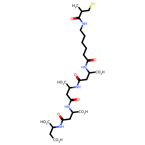 CC(CS)C(=O)NCCCCCC(=O)NC(CC(=O)NC(CC(=O)NC(CC(=O)NC(CC(=O)O)C(=O)O)C(=O)O)C(=O)O)C(=O)O